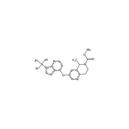 CC1c2cc(Oc3ccnc4c3ccn4[Si](C(C)C)(C(C)C)C(C)C)cnc2CCN1C(=O)OC(C)(C)C